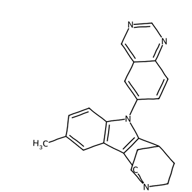 Cc1ccc2c(c1)c1c(n2-c2ccc3ncncc3c2)C2CCN(CC2)C1